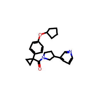 O=C(N1CCC(c2cccnc2)C1)C1(c2ccc(OC3CCCC3)cc2)CC1